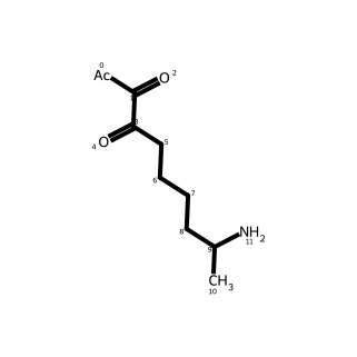 CC(=O)C(=O)C(=O)CCCCC(C)N